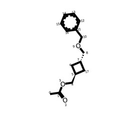 CC(=O)OC[C@H]1C[C@H](COCc2ccccc2)C1